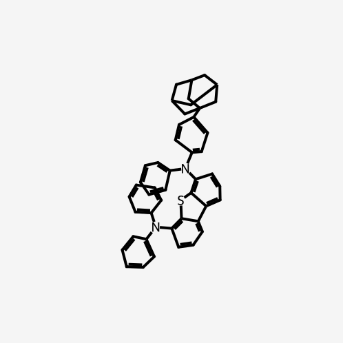 c1ccc(N(c2ccccc2)c2cccc3c2sc2c(N(c4ccccc4)c4ccc(C56CC7CC(CC(C7)C5)C6)cc4)cccc23)cc1